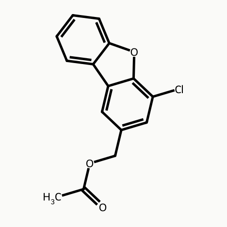 CC(=O)OCc1cc(Cl)c2oc3ccccc3c2c1